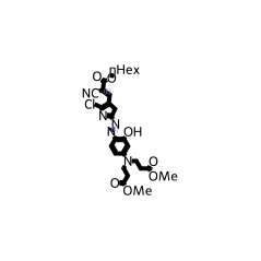 CCCCCCOC(=O)/C(C#N)=C/C1=C(Cl)N=C(/N=N/c2ccc(N(CCC(=O)OC)CCC(=O)OC)cc2O)C1